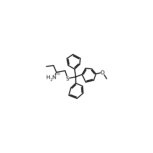 CC[C@H](N)CSC(c1ccccc1)(c1ccccc1)c1ccc(OC)cc1